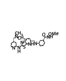 CONC(=O)c1cccc(NCc2ccc3nc(Nc4cc(CN(C)C)ccn4)sc3n2)c1